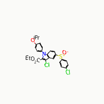 CCOC(=O)c1c(Cl)c2cc([S+]([O-])c3ccc(Cl)cc3)ccc2n1-c1ccc(OC(C)C)cc1